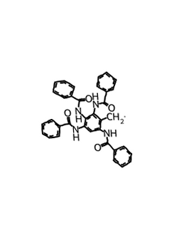 [CH2]c1c(NC(=O)c2ccccc2)cc(NC(=O)c2ccccc2)c(NC(=O)c2ccccc2)c1NC(=O)c1ccccc1